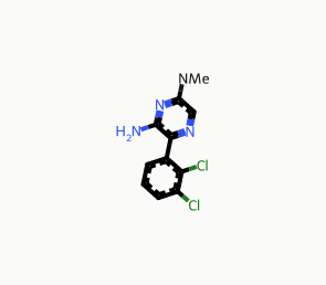 CNc1cnc(-c2cccc(Cl)c2Cl)c(N)n1